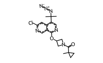 CC1(C(=O)N2CC(Oc3ncc(C(C)(C)N=[N+]=[N-])c4cc(Cl)ncc34)C2)CC1